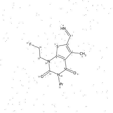 Cc1c(C=N)sc2c1c(=O)n(C(C)C)c(=O)n2CCF